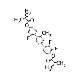 C=C(C)C(=O)Oc1ccc(-c2ccc(-c3ccc(OC(=O)C(=C)C)c(F)c3F)cc2C)c(F)c1